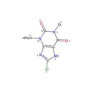 [CH2]Cn1c(=O)c2[nH]c(Cl)nc2n(CCCCC)c1=O